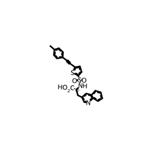 Cc1ccc(C#Cc2ccc(S(=O)(=O)N[C@H](Cc3cnc4ccccc4c3)C(=O)O)s2)cc1